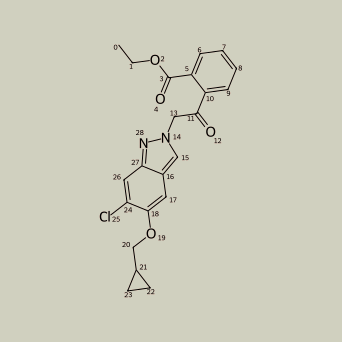 CCOC(=O)c1ccccc1C(=O)Cn1cc2cc(OCC3CC3)c(Cl)cc2n1